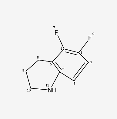 Fc1ccc2c(c1F)CCCN2